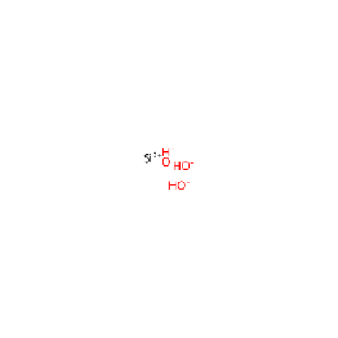 [OH-].[OH-].[OH-].[Si+3]